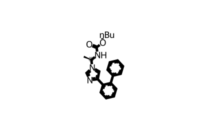 CCCCOC(=O)N[C@H](C)n1cnc(-c2ccccc2-c2ccccc2)c1